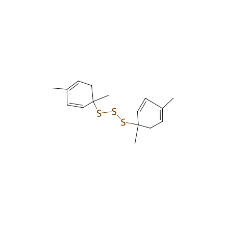 CC1=CCC(C)(SSSC2(C)C=CC(C)=CC2)C=C1